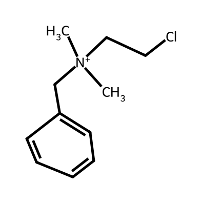 C[N+](C)(CCCl)Cc1ccccc1